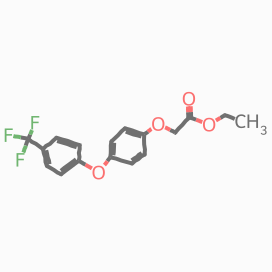 CCOC(=O)COc1ccc(Oc2ccc(C(F)(F)F)cc2)cc1